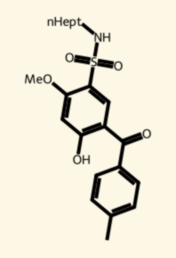 CCCCCCCNS(=O)(=O)c1cc(C(=O)c2ccc(C)cc2)c(O)cc1OC